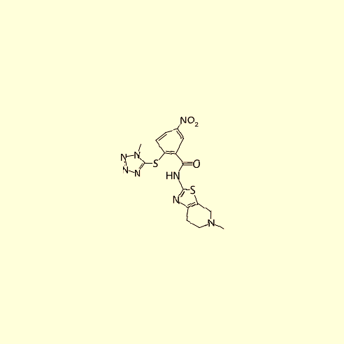 CN1CCc2nc(NC(=O)c3cc([N+](=O)[O-])ccc3Sc3nnnn3C)sc2C1